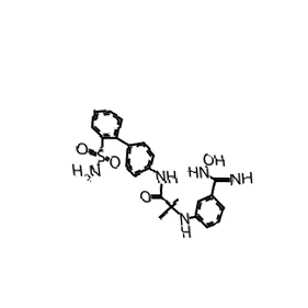 CC(C)(Nc1cccc(C(=N)NO)c1)C(=O)Nc1ccc(-c2ccccc2S(N)(=O)=O)cc1